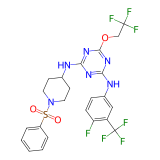 O=S(=O)(c1ccccc1)N1CCC(Nc2nc(Nc3ccc(F)c(C(F)(F)F)c3)nc(OCC(F)(F)F)n2)CC1